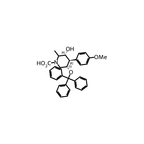 COc1ccc([C@H]2[C@H](OC(c3ccccc3)(c3ccccc3)c3ccccc3)CN(C(=O)O)C(C)[C@@H]2O)cc1